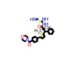 CC(C)(C(=O)NC(=N)SC=N)C(c1ccccc1)c1ccc(-c2ccc(C(=O)N3CCOCC3)cc2)s1